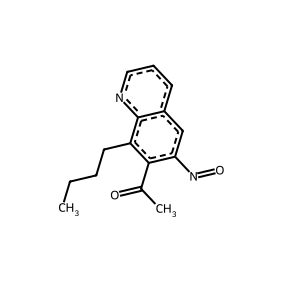 CCCCc1c(C(C)=O)c(N=O)cc2cccnc12